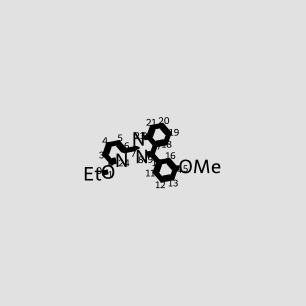 CCOc1cccc(-c2nc(-c3cccc(OC)c3)c3ccccc3n2)n1